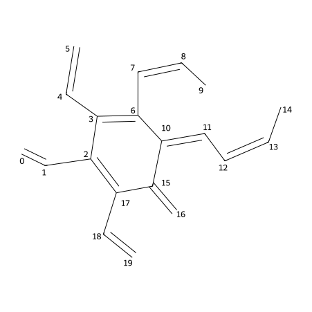 C=Cc1c(C=C)c(/C=C\C)/c(=C/C=C\C)c(=C)c1C=C